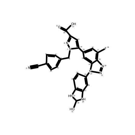 N#Cc1ccc(Cn2nc(C(=O)O)cc2-c2cc(F)c3nnn(-c4ccc5c(c4)NC(O)N5)c3c2)cc1